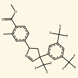 COC(=O)c1ccc(C2CC(c3cc(C(F)(F)F)cc(C(F)(F)F)c3)(C(F)(F)F)C=N2)cc1C